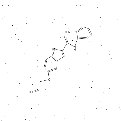 C=CCOc1ccc2[nH]c(C(=O)Nc3ccccc3N)cc2c1